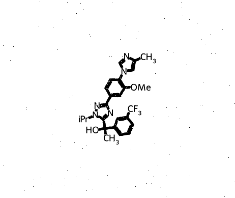 COc1cc(-c2nc(C(C)(O)c3cccc(C(F)(F)F)c3)n(C(C)C)n2)ccc1-n1cnc(C)c1